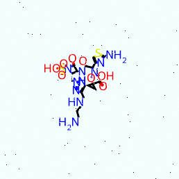 NCCCNCc1cnn(C[C@H]2[C@H](NC(=O)C(=NOC3(C(=O)O)CC3)c3csc(N)n3)C(=O)N2S(=O)(=O)O)n1